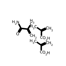 C=C(C)C(=O)O.C=C(C)C(=O)O.C=C(C)C(N)=O